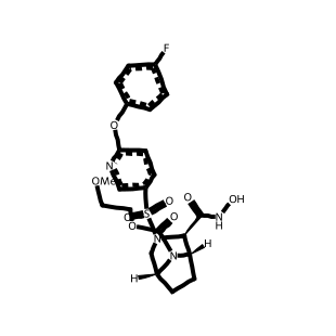 COCCOC(=O)N1[C@@H]2CC[C@H]1[C@H](C(=O)NO)N(S(=O)(=O)c1ccc(Oc3ccc(F)cc3)nc1)C2